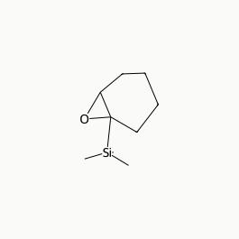 C[Si](C)C12CCCCC1O2